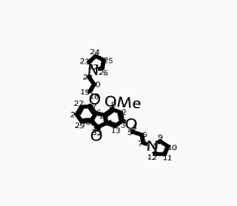 COc1cc(OCCCN2CCCC2)cc2c1-c1c(OCCCN3CCCC3)cccc1C2=O